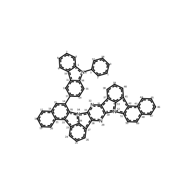 c1ccc(-n2c3ccccc3c3cc(-c4cc5ccccc5c5c6cccc7c8nc9c(nc8n(c45)c76)c4cccc5c6c7ccccc7ccc6n9c45)ccc32)cc1